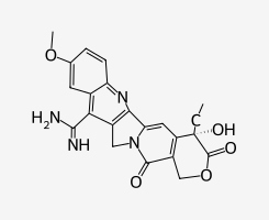 CC[C@@]1(O)C(=O)OCc2c1cc1n(c2=O)Cc2c-1nc1ccc(OC)cc1c2C(=N)N